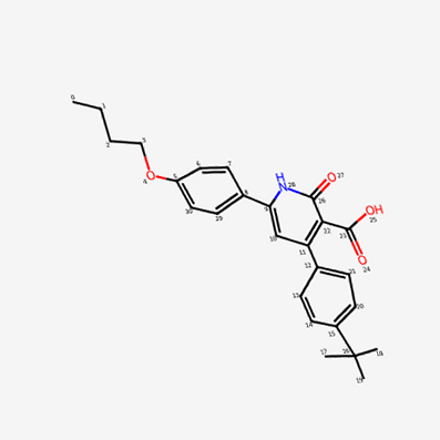 CCCCOc1ccc(-c2cc(-c3ccc(C(C)(C)C)cc3)c(C(=O)O)c(=O)[nH]2)cc1